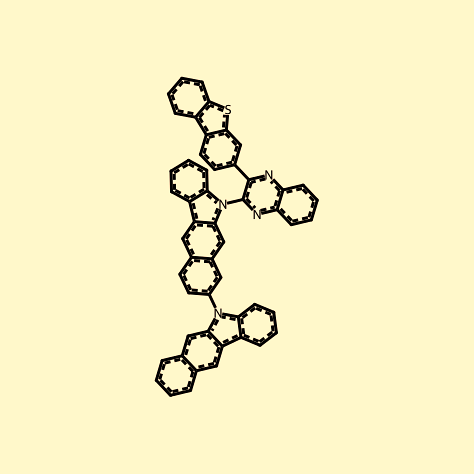 c1ccc2cc3c(cc2c1)c1ccccc1n3-c1ccc2cc3c4ccccc4n(-c4nc5ccccc5nc4-c4ccc5c(c4)sc4ccccc45)c3cc2c1